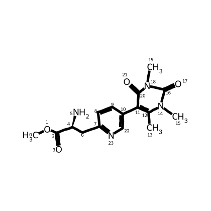 COC(=O)[C@@H](N)Cc1ccc(-c2c(C)n(C)c(=O)n(C)c2=O)cn1